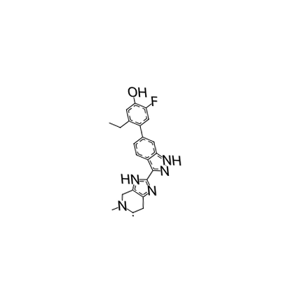 CCc1cc(O)c(F)cc1-c1ccc2c(-c3nc4c([nH]3)CN(C)[CH]C4)n[nH]c2c1